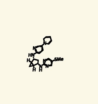 CSc1cnc(N[C@@H]2C[C@@H](Nc3ccc(N4C=CC=CC4)cn3)[C@H]3C[C@H]32)nc1